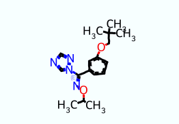 CC(C)O/N=C(\c1cccc(OCC(C)(C)C)c1)n1cncn1